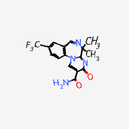 CC1(C)N=Cc2cc(C(F)(F)F)ccc2-n2cc(C(N)=O)c(=O)nc21